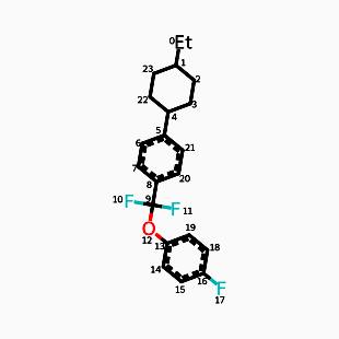 CCC1CCC(c2ccc(C(F)(F)Oc3ccc(F)cc3)cc2)CC1